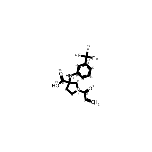 C=CC(=O)N1CCC(Nc2cccc(C(F)(F)F)c2)(C(=O)O)C1